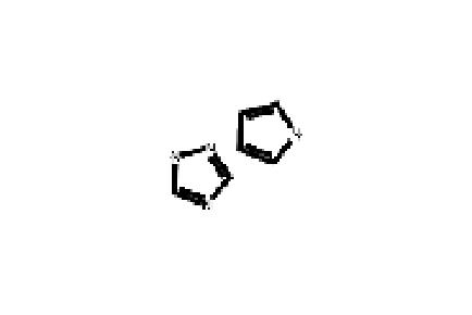 C1=C[N]C=C1.C1=NC=N[N]1